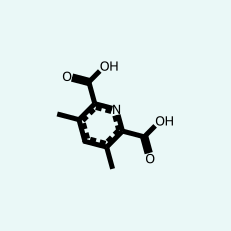 Cc1cc(C)c(C(=O)O)nc1C(=O)O